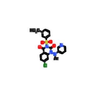 CC(=O)N(c1cccnc1)n1c(=O)n(S(=O)(=O)c2cccc(C(=O)O)c2)c(=O)c2ccc(Cl)cc21